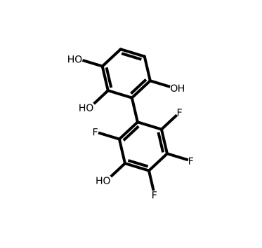 Oc1ccc(O)c(-c2c(F)c(O)c(F)c(F)c2F)c1O